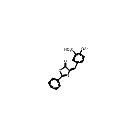 CC(=O)Oc1ccc(C=C2N=C(c3ccccc3)OC2=O)cc1C(=O)O